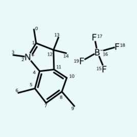 CC1=[N+](C)c2c(C)cc(C)cc2C1(C)C.F[B-](F)(F)F